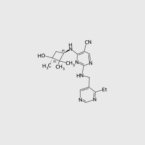 CCc1ncncc1CNc1ncc(C#N)c(N[C@@H]2C[C@](C)(O)C2(C)C)n1